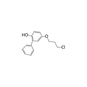 Oc1ccc(OCCCCl)cc1-c1ccccc1